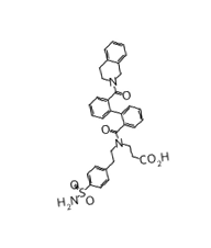 NS(=O)(=O)c1ccc(CCN(CCC(=O)O)C(=O)c2ccccc2-c2ccccc2C(=O)N2CCc3ccccc3C2)cc1